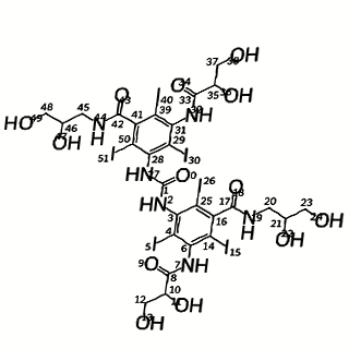 O=C(Nc1c(I)c(NC(=O)C(O)CO)c(I)c(C(=O)NCC(O)CO)c1I)Nc1c(I)c(NC(=O)C(O)CO)c(I)c(C(=O)NCC(O)CO)c1I